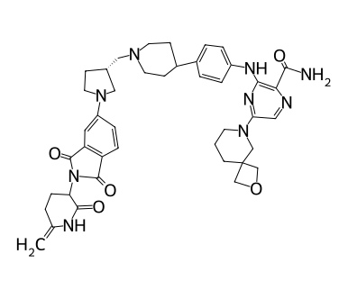 C=C1CCC(N2C(=O)c3ccc(N4CC[C@H](CN5CCC(c6ccc(Nc7nc(N8CCCC9(COC9)C8)cnc7C(N)=O)cc6)CC5)C4)cc3C2=O)C(=O)N1